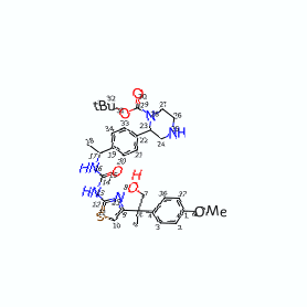 COc1ccc(C(C)(CO)c2csc(NC(=O)NC(C)c3ccc(C4CNCCN4C(=O)OC(C)(C)C)cc3)n2)cc1